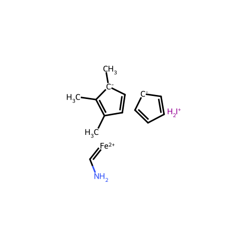 Cc1cc[c-](C)c1C.N[CH]=[Fe+2].[IH2+].c1cc[cH-]c1